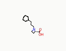 O=C(O)[C@H]1CCN1CCCc1ccccc1